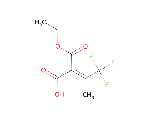 CCOC(=O)C(C(=O)O)=C(C)C(F)(F)F